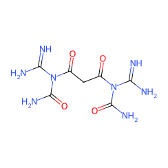 N=C(N)N(C(N)=O)C(=O)CC(=O)N(C(=N)N)C(N)=O